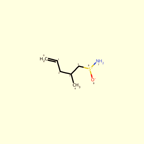 C=CCC(C)C[S+](N)[O-]